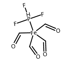 O=[CH][Fe]([CH]=O)([CH]=O)([CH]=O)[PH](F)(F)F